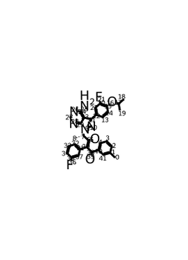 Cc1ccc2oc([C@H](C)n3nc(-c4ccc(OC(C)C)c(F)c4)c4c(N)ncnc43)c(-c3cccc(F)c3)c(=O)c2c1